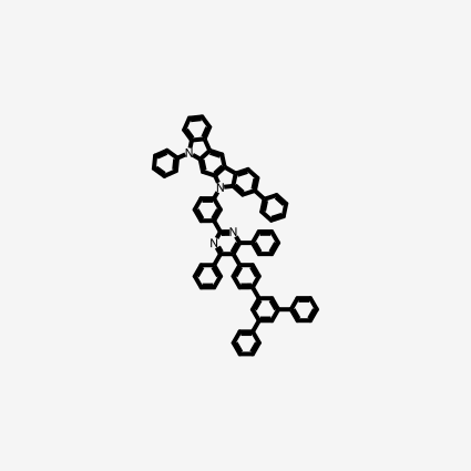 c1ccc(-c2cc(-c3ccccc3)cc(-c3ccc(-c4c(-c5ccccc5)nc(-c5cccc(-n6c7cc(-c8ccccc8)ccc7c7cc8c9ccccc9n(-c9ccccc9)c8cc76)c5)nc4-c4ccccc4)cc3)c2)cc1